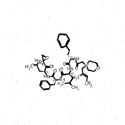 C/C=C(\C)C[N+]1(CC(=O)N[C@@H](CCc2ccccc2)C(=O)N[C@@H](CC(C)C)C(=O)N[C@@H](Cc2ccccc2)C(=O)N[C@@H](CC(C)C)C(=O)[C@@]2(C)CO2)CCOCC1